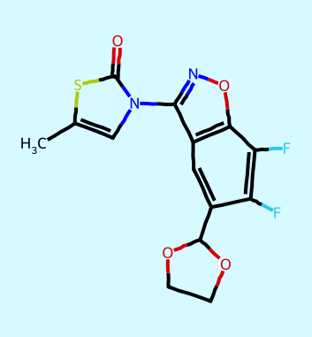 Cc1cn(-c2noc3c(F)c(F)c(C4OCCO4)cc23)c(=O)s1